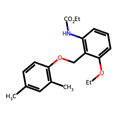 CCOC(=O)Nc1cccc(OCC)c1COc1ccc(C)cc1C